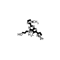 Cc1c(-c2ccn(C(C)C)n2)sc2nc(-c3nccn3C)nc(NCCCO)c12